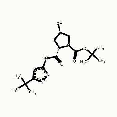 CC(C)(C)OC(=O)N1C[C@H](O)C[C@H]1C(=O)Nc1nnc(C(C)(C)C)s1